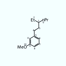 CCCC(CC)C[CH]c1cccc(OC)c1